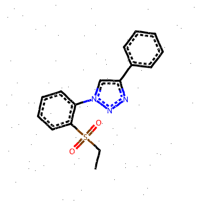 CCS(=O)(=O)c1ccccc1-n1cc(-c2ccccc2)nn1